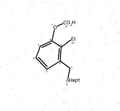 CCCCCCCCc1cccc(OC(=O)O)c1CC